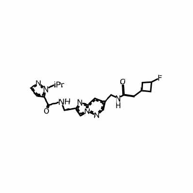 CC(C)n1nccc1C(=O)NCc1cn2ncc(CNC(=O)CC3CC(F)C3)cc2n1